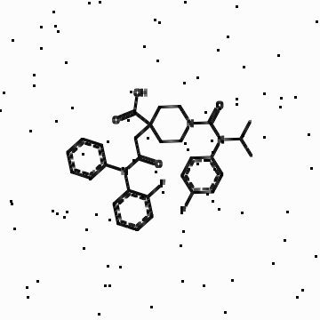 CC(C)N(C(=O)N1CCC(CC(=O)N(c2ccccc2)c2ccccc2F)(C(=O)O)CC1)c1ccc(F)cc1